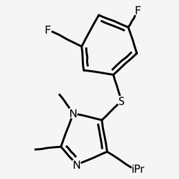 Cc1nc(C(C)C)c(Sc2cc(F)cc(F)c2)n1C